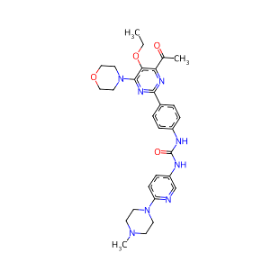 CCOc1c(C(C)=O)nc(-c2ccc(NC(=O)Nc3ccc(N4CCN(C)CC4)nc3)cc2)nc1N1CCOCC1